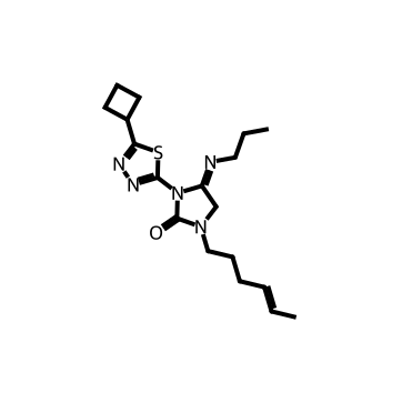 CC=CCCCN1CC(=NCCC)N(c2nnc(C3CCC3)s2)C1=O